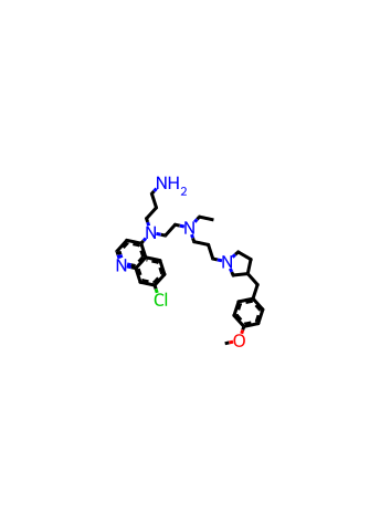 CCN(CCCN1CCC(Cc2ccc(OC)cc2)C1)CCN(CCCN)c1ccnc2cc(Cl)ccc12